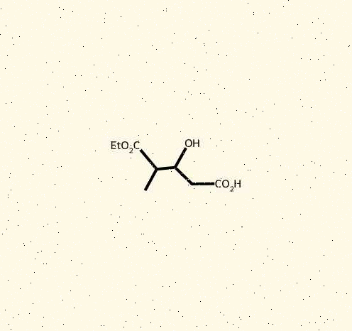 CCOC(=O)C(C)C(O)CC(=O)O